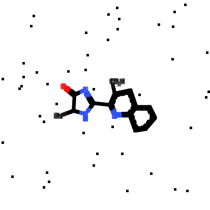 CCC(C)C1NC(c2nc3ccccc3cc2C(=O)O)=NC1=O